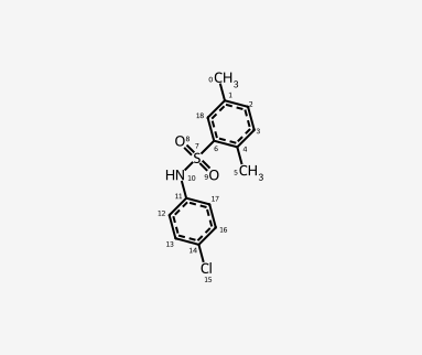 Cc1ccc(C)c(S(=O)(=O)Nc2ccc(Cl)cc2)c1